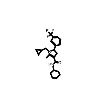 CC1=C(C(=O)NC2CCCCC2)CC(c2cccc(C(F)(F)F)c2)N1CC1CC1